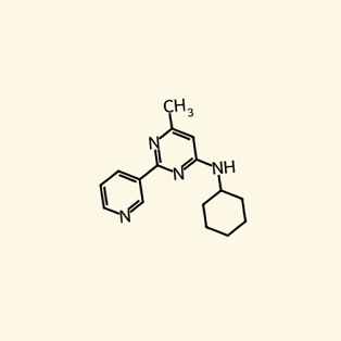 Cc1cc(NC2CCCCC2)nc(-c2cccnc2)n1